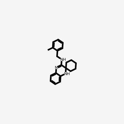 Cc1ccccc1CNC1=Nc2ccccc2NC12CCCCC2